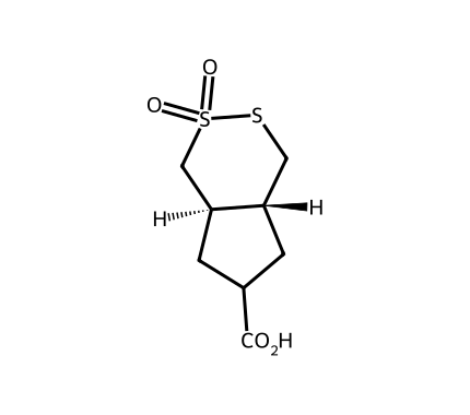 O=C(O)C1C[C@H]2CSS(=O)(=O)C[C@@H]2C1